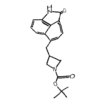 CC(C)(C)OC(=O)N1CC(Cc2ccc3c4c(cccc24)NC3=O)C1